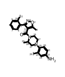 Cc1onc(-c2ccccc2I)c1C(=O)N1CCN(c2ccc(N)cc2I)CC1C